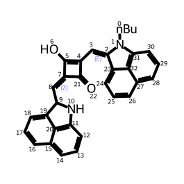 CCCCn1/c(=C/C2=C(O)C(=C/C3Nc4cccc5cccc3c45)/C2=O)c2cccc3cccc1c32